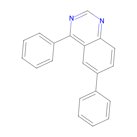 c1ccc(-c2ccc3ncnc(-c4ccccc4)c3c2)cc1